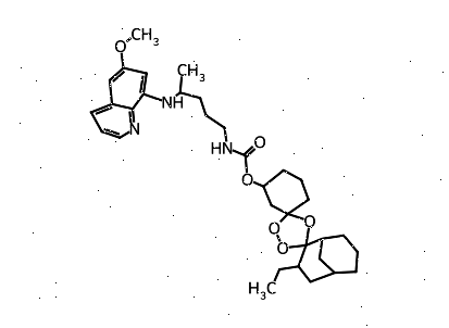 CCC1CC2CCCC(C2)C12OOC1(CCCC(OC(=O)NCCCC(C)Nc3cc(OC)cc4cccnc34)C1)O2